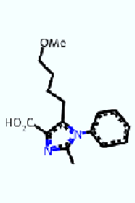 COCCCCc1c(C(=O)O)nc(C)n1-c1ccccc1